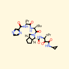 CCCC(NC(=O)[C@@H]1[C@H]2CCC[C@H]2CN1C(=O)[C@@H](NC(=O)[C@H](NC(=O)c1cnccn1)C(C)C)C(C)(C)C)C(=O)C(=O)NC1CC1